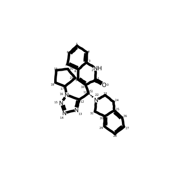 O=c1[nH]c2ccccc2cc1[C@@H](c1nnnn1C1CCCC1)N1CCc2ccccc2C1